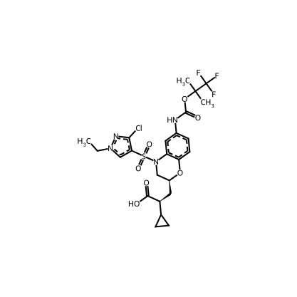 CCn1cc(S(=O)(=O)N2C[C@H](C[C@H](C(=O)O)C3CC3)Oc3ccc(NC(=O)OC(C)(C)C(F)(F)F)cc32)c(Cl)n1